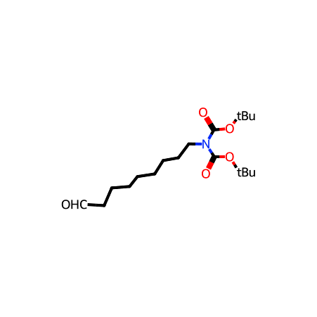 CC(C)(C)OC(=O)N(CCCCCCCCC=O)C(=O)OC(C)(C)C